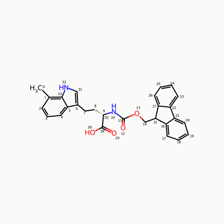 Cc1cccc2c(CC[C@H](NC(=O)OCC3c4ccccc4-c4ccccc43)C(=O)O)c[nH]c12